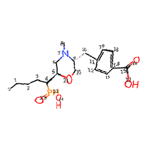 CCCCC([C@H]1CN(C)[C@H](Cc2ccc(C(=O)O)cc2)CO1)[PH](=O)O